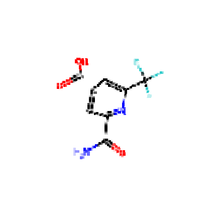 NC(=O)c1cccc(C(F)(F)F)n1.O=CO